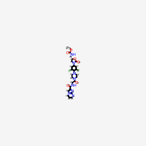 CC(C)OC(=O)NC[C@H]1CN(c2cc(F)c(N3CCN(C(=O)CNC(=O)c4cn5cccnc5n4)CC3)c(F)c2)C(=O)O1